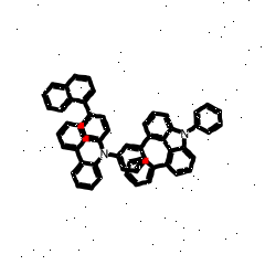 c1ccc(-c2ccccc2N(c2ccc(-c3cccc4ccccc34)cc2)c2cccc(-c3cccc4c3c3c(-c5ccccc5)cccc3n4-c3ccccc3)c2)cc1